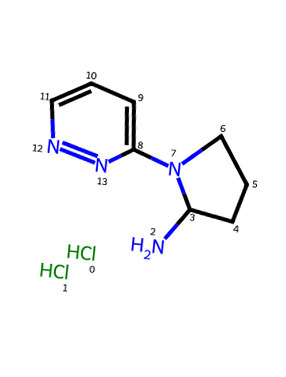 Cl.Cl.NC1CCCN1c1cccnn1